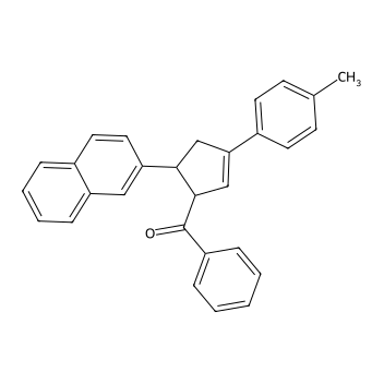 Cc1ccc(C2=CC(C(=O)c3ccccc3)C(c3ccc4ccccc4c3)C2)cc1